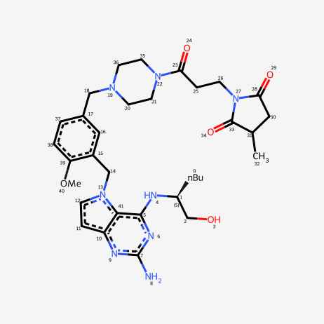 CCCC[C@@H](CO)Nc1nc(N)nc2ccn(Cc3cc(CN4CCN(C(=O)CCN5C(=O)CC(C)C5=O)CC4)ccc3OC)c12